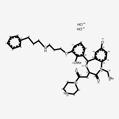 COc1c(OCCCNCCCc2ccccc2)cccc1C1OC(CC(=O)N2CCNCC2)C(=O)N(CC(C)(C)C)c2ccc(Cl)cc21.Cl.Cl